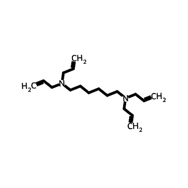 C=CCN(CC=C)CCCCCCN(CC=C)CC=C